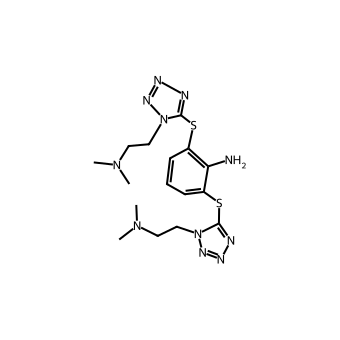 CN(C)CCn1nnnc1Sc1cccc(Sc2nnnn2CCN(C)C)c1N